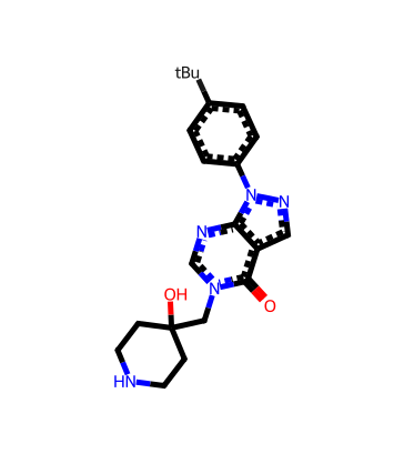 CC(C)(C)c1ccc(-n2ncc3c(=O)n(CC4(O)CCNCC4)cnc32)cc1